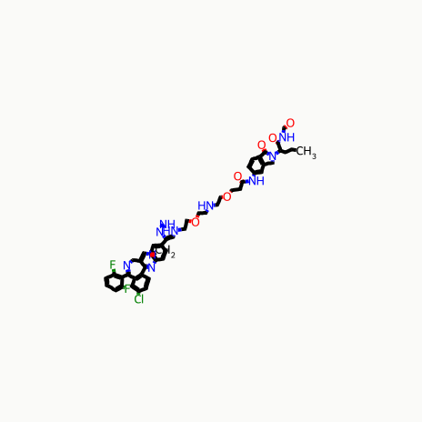 C=N/C=C1/CN=C(c2c(F)cccc2F)c2cc(Cl)ccc2/C1=N/c1ccc(/C(=C/NCCOCCNCCOCCC(=O)Nc2ccc3c(c2)CN(C(CCC)C(=O)NC=O)C3=O)N=N)cc1